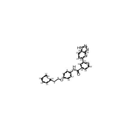 O=C(Nc1ccc(OCCc2ccccc2)cc1)c1ccnc(-c2ccc3[nH]nnc3n2)c1